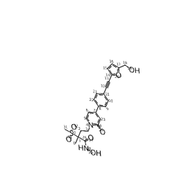 CC(CCn1ccc(-c2ccc(C#Cc3ccc(CO)o3)cc2)cc1=O)(C(=O)NO)S(C)(=O)=O